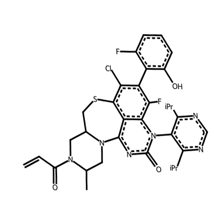 C=CC(=O)N1CC2CSc3c(Cl)c(-c4c(O)cccc4F)c(F)c4c3c(nc(=O)n4-c3c(C(C)C)ncnc3C(C)C)N2CC1C